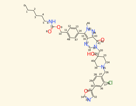 CCCCCCNC(=O)OCc1ccc(-c2c3ncn(CC4(O)CCN(Cc5ccc(-c6cnco6)cc5Cl)CC4)c(=O)c3nn2C)cc1